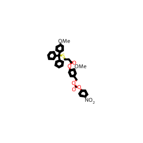 COc1ccc(C(SCCC(=O)Oc2ccc(COC(=O)Oc3ccc([N+](=O)[O-])cc3)cc2OC)(c2ccccc2)c2ccccc2)cc1